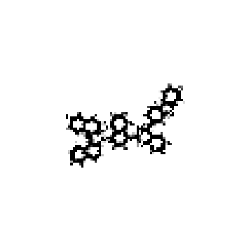 c1ccc2c(c1)ccc1c2c2c3ccccc3ccc2n1-c1ccc(-c2nc(-c3ccc4c(c3)sc3ccccc34)c3ccccc3n2)c2ccccc12